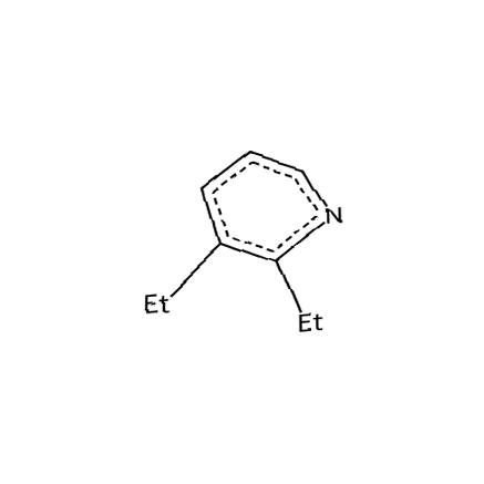 CCc1cccnc1CC